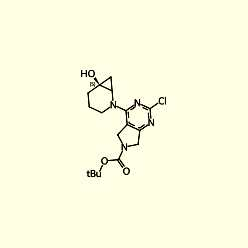 CC(C)(C)OC(=O)N1Cc2nc(Cl)nc(N3CCC[C@]4(O)CC34)c2C1